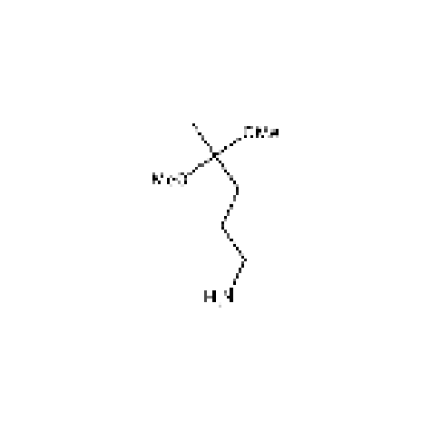 COC(C)(CCCN)OC